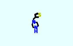 c1cc(CN2CCNCC2)cs1